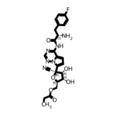 CCC(=O)OC[C@H]1O[C@@](C#N)(c2ccc3c(NC(=O)[C@@H](N)Cc4ccc(F)cc4)ncnn23)[C@H](O)[C@@H]1O